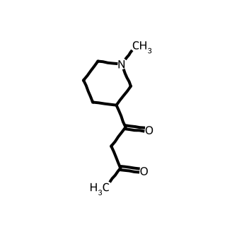 CC(=O)CC(=O)C1CCCN(C)C1